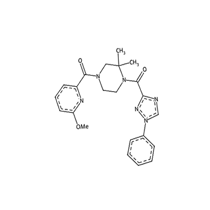 COc1cccc(C(=O)N2CCN(C(=O)c3ncn(-c4ccccc4)n3)C(C)(C)C2)n1